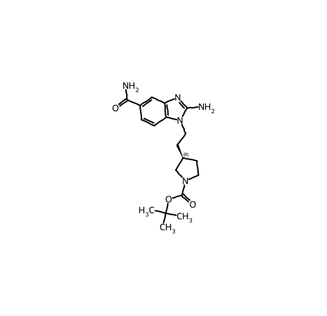 CC(C)(C)OC(=O)N1CC[C@H](CCn2c(N)nc3cc(C(N)=O)ccc32)C1